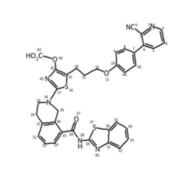 N#Cc1ncccc1-c1ccc(OCCCc2sc(N3CCc4cccc(C(=O)Nc5nc6ccccc6s5)c4C3)nc2OC(=O)O)cc1